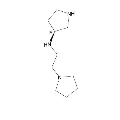 C1CCN(CCN[C@H]2CCNC2)C1